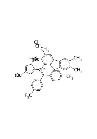 CCCCC1C=C(C(C)(C)C)C=[C]1[Zr+2](=[C](c1ccc(C(F)(F)F)cc1)c1ccc(C(F)(F)F)cc1)[c]1c(C)c(C)cc2c1Cc1cc(C)c(C)cc1-2.[Cl-].[Cl-]